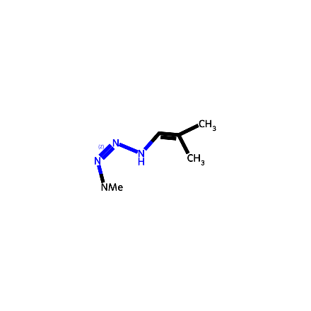 CN/N=N\NC=C(C)C